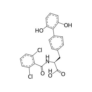 O=C(N[C@@H](Cc1ccc(-c2c(O)cccc2O)cc1)C(=O)O)c1c(Cl)cccc1Cl